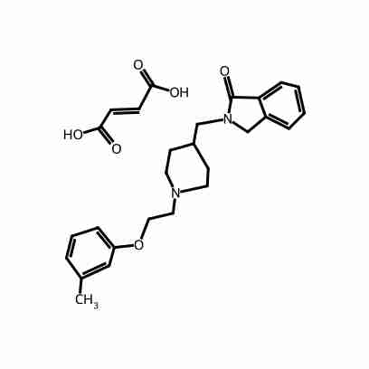 Cc1cccc(OCCN2CCC(CN3Cc4ccccc4C3=O)CC2)c1.O=C(O)/C=C/C(=O)O